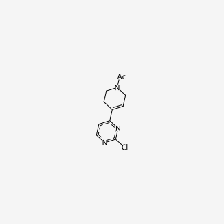 CC(=O)N1CC=C(c2ccnc(Cl)n2)CC1